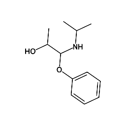 CC(C)NC(Oc1ccccc1)C(C)O